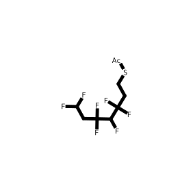 CC(=O)SCCC(F)(F)C(F)C(F)(F)CC(F)F